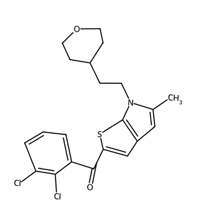 Cc1cc2cc(C(=O)c3cccc(Cl)c3Cl)sc2n1CCC1CCOCC1